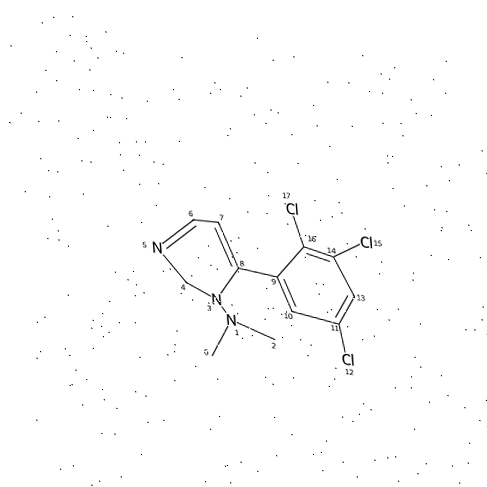 CN(C)N1CN=CC=C1c1cc(Cl)cc(Cl)c1Cl